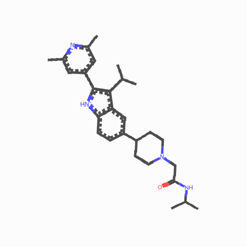 Cc1cc(-c2[nH]c3ccc(C4CCN(CC(=O)NC(C)C)CC4)cc3c2C(C)C)cc(C)n1